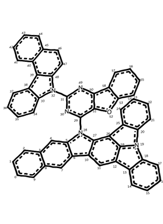 c1ccc2cc3c(cc2c1)c1cc2c4ccccc4n4c5ccccc5c(c1n3-c1nc(-n3c5ccccc5c5c6ccccc6ccc53)nc3c1oc1ccccc13)c24